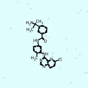 Cc1ccc(NC(=O)c2cccc(C(C)(C)N)c2)cc1Nc1ncnc2ccc(Cl)nc12